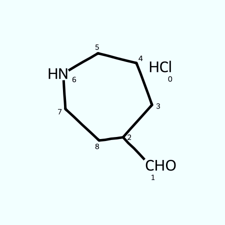 Cl.O=CC1CCCNCC1